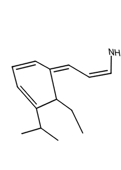 CCC1C(C(C)C)=CC=C/C1=C/C=C\N